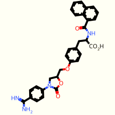 N=C(N)c1ccc(N2CC(COc3ccc(CC(NC(=O)c4cccc5ccccc45)C(=O)O)cc3)OC2=O)cc1